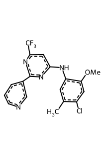 COc1cc(Cl)c(C)cc1Nc1cc(C(F)(F)F)nc(-c2cccnc2)n1